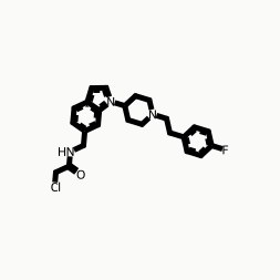 O=C(CCl)NCc1ccc2ccn(C3CCN(CCc4ccc(F)cc4)CC3)c2c1